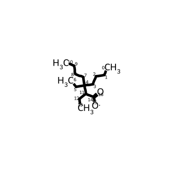 CCCCC(CC)(CCCC)C(CC)C([O])=O